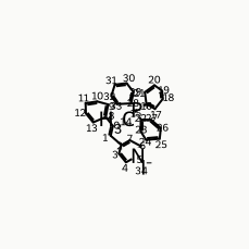 C(=Cc1ccncc1)c1ccccc1.C[P+](c1ccccc1)(c1ccccc1)c1ccccc1.[I-]